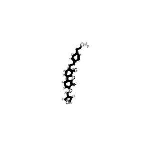 CCCc1ccc(CCc2ccc3c(oc4c(F)c(OCC5CCOC5)ccc43)c2F)cc1